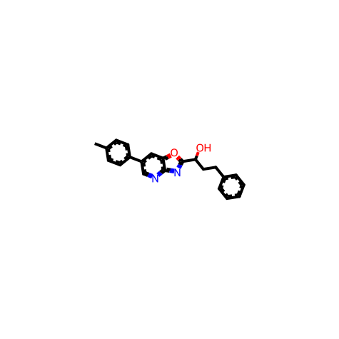 Cc1ccc(-c2cnc3nc(C(O)CCc4ccccc4)oc3c2)cc1